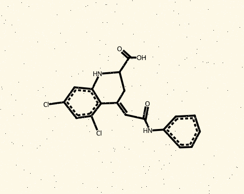 O=C(C=C1CC(C(=O)O)Nc2cc(Cl)cc(Cl)c21)Nc1ccccc1